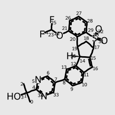 CC(C)(O)c1ncc(-c2ccc3c(c2)[C@H]2C(=C3)C3CC2c2c(OC(F)F)cccc2S3(=O)=O)cn1